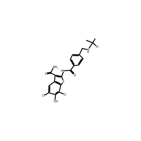 CCC(C)(C)NCc1ccc(C(=O)Nc2sc3c(Cl)c(O)c(Cl)cc3c2C(N)=O)cc1